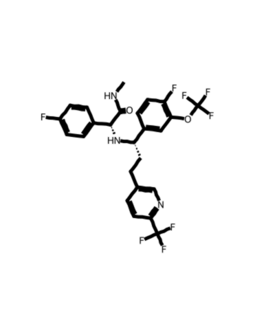 CNC(=O)[C@H](N[C@@H](CCc1ccc(C(F)(F)F)nc1)c1ccc(F)c(OC(F)(F)F)c1)c1ccc(F)cc1